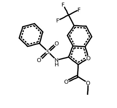 COC(=O)c1oc2ccc(C(F)(F)F)cc2c1NS(=O)(=O)c1ccccc1